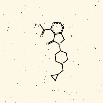 NC(=O)c1cccc2c1C(=O)N(C1CCN(CC3CC3)CC1)C2